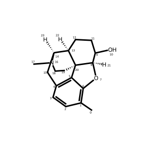 Cc1ccc2c3c1O[C@@H]1C(O)CC[C@@H]4[C@H](C2)N(C)CC[C@@]314